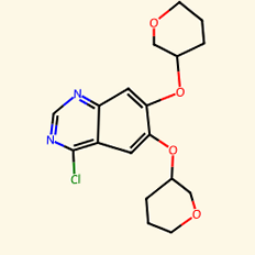 Clc1ncnc2cc(OC3CCCOC3)c(OC3CCCOC3)cc12